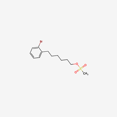 CS(=O)(=O)OCCCCCCc1ccccc1Br